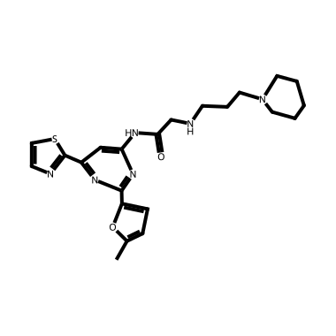 Cc1ccc(-c2nc(NC(=O)CNCCCN3CCCCC3)cc(-c3nccs3)n2)o1